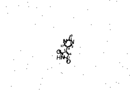 Cc1ncc(C2=CC(=O)NC2=O)cn1